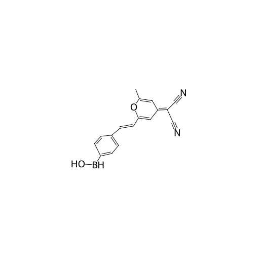 CC1=CC(=C(C#N)C#N)C=C(C=Cc2ccc(BO)cc2)O1